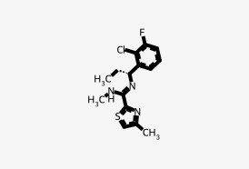 CC[C@@H](/N=C(\NC)c1nc(C)cs1)c1cccc(F)c1Cl